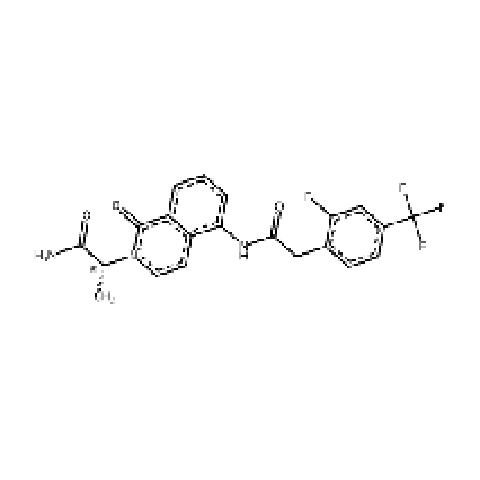 C[C@H](C(N)=O)n1ccc2c(NC(=O)Cc3ccc(C(F)(F)F)cc3F)cccc2c1=O